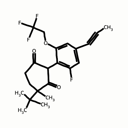 CC#Cc1cc(F)c(C2C(=O)CCC(C)(C(C)(C)C)C2=O)c(OCC(F)(F)F)c1